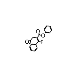 O=C(Oc1ccccc1)C(CC1CO1)=C(F)c1ccccc1